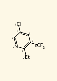 CCc1ncc(Cl)cc1C(F)(F)F